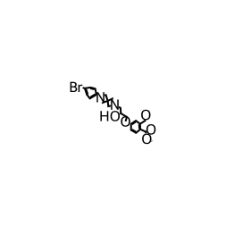 COC(=O)c1ccc(OC[C@H](O)CN2CC3(C2)CN(c2ccc(Br)cc2)C3)cc1C=O